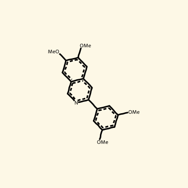 COc1cc(OC)cc(-c2cc3cc(OC)c(OC)cc3cn2)c1